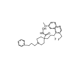 COc1ccc2ncc(CF)c([C@H](F)CCC3(C(=O)NO)CCN(CCCc4ccccc4)CC3)c2c1